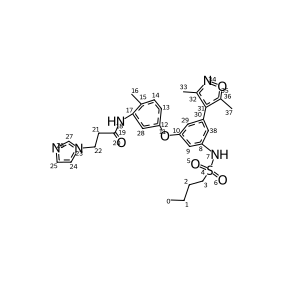 CCCCS(=O)(=O)Nc1cc(Oc2ccc(C)c(NC(=O)CCn3ccnc3)c2)cc(-c2c(C)noc2C)c1